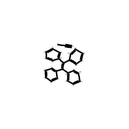 C#CC.c1ccc(C(=C(c2ccccc2)c2ccccc2)c2ccccc2)cc1